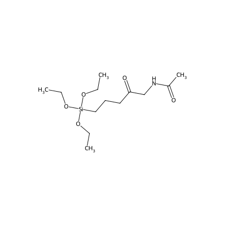 CCO[Si](CCCC(=O)CNC(C)=O)(OCC)OCC